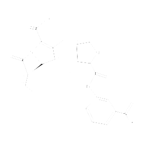 C[C@H]1C(S[C@@H]2CNC(C(=O)Nc3cccc(C(=O)O)c3)C2)=C(C(=O)O)N2C(=O)[C@H]([C@@H](C)O)C12